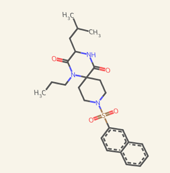 CCCN1C(=O)C(CC(C)C)NC(=O)C12CCN(S(=O)(=O)c1ccc3ccccc3c1)CC2